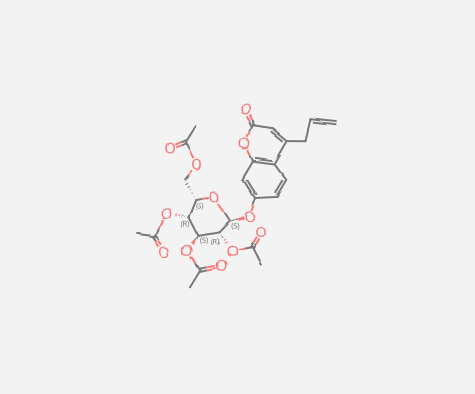 C=CCc1cc(=O)oc2cc(O[C@@H]3O[C@@H](COC(C)=O)[C@@H](OC(C)=O)[C@H](OC(C)=O)[C@H]3OC(C)=O)ccc12